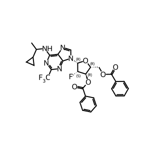 CC(Nc1nc(C(F)(F)F)nc2c1ncn2[C@@H]1O[C@H](COC(=O)c2ccccc2)[C@@H](OC(=O)c2ccccc2)[C@@H]1F)C1CC1